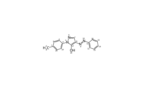 Cc1ccc(-n2ncc(/N=N/c3ccccc3)c2O)cc1